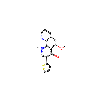 COc1cc2cccnc2c2c1c(=O)c(-c1cccs1)cn2C